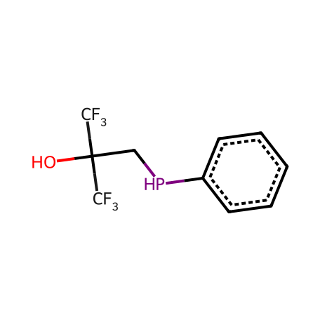 OC(CPc1ccccc1)(C(F)(F)F)C(F)(F)F